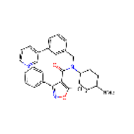 CNC1CCC(N(Cc2cccc(-c3cccnc3)c2)C(=O)c2c(-c3ccccc3)noc2C)CC1